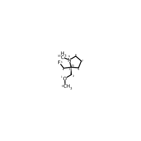 COC[C@]1(CF)CCCN1C